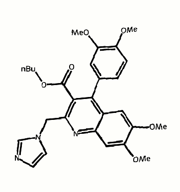 CCCCOC(=O)c1c(Cn2ccnc2)nc2cc(OC)c(OC)cc2c1-c1ccc(OC)c(OC)c1